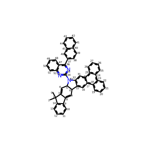 CC1(C)C2=CC3C(C=C2c2ccccc21)c1cc2c4ccccc4c4ccccc4c2cc1N3c1nc(-c2ccc3ccccc3c2)c2ccccc2n1